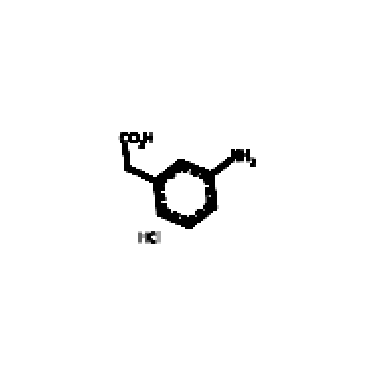 Cl.Nc1cccc(CC(=O)O)c1